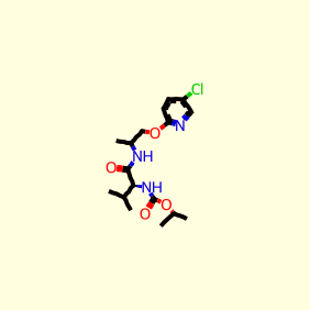 CC(COc1ccc(Cl)cn1)NC(=O)[C@@H](NC(=O)OC(C)C)C(C)C